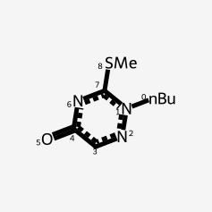 CCCCn1ncc(=O)nc1SC